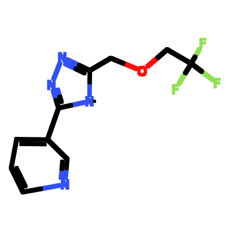 FC(F)(F)COCC1=NN=C(c2cccnc2)[N]1